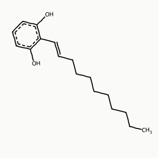 CCCCCCCCCC=Cc1c(O)cccc1O